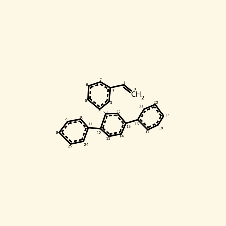 C=Cc1ccccc1.c1ccc(-c2ccc(-c3ccccc3)cc2)cc1